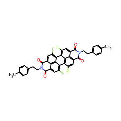 O=C1c2cc(F)c3c4c(F)cc5c6c(cc(F)c(c7c(F)cc(c2c37)C(=O)N1CCc1ccc(C(F)(F)F)cc1)c64)C(=O)N(CCc1ccc(C(F)(F)F)cc1)C5=O